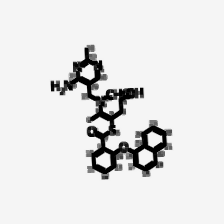 CC(=C(CCO)SC(=O)c1ccccc1Oc1cccc2ccccc12)N(C=O)Cc1cnc(C)nc1N